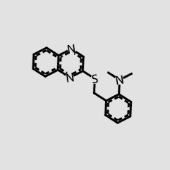 CN(C)c1ccccc1CSc1cnc2ccccc2n1